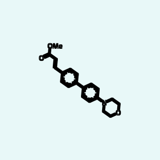 COC(=O)/C=C/c1ccc(-c2ccc(N3CCOCC3)cc2)cc1